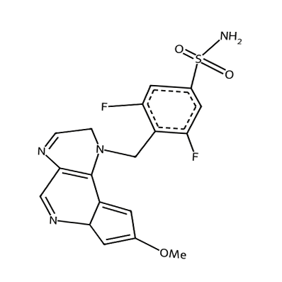 COC1=CC2N=CC3=C(C2=C1)N(Cc1c(F)cc(S(N)(=O)=O)cc1F)CC=N3